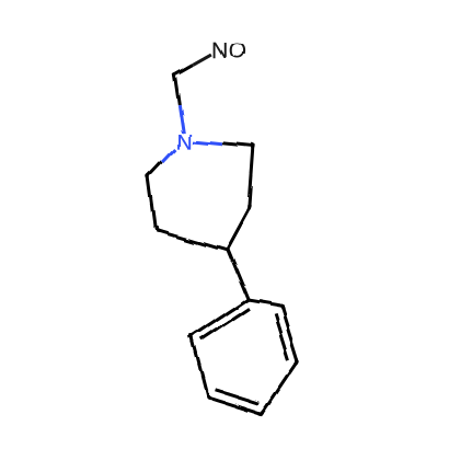 O=NCN1CCC(c2ccccc2)CC1